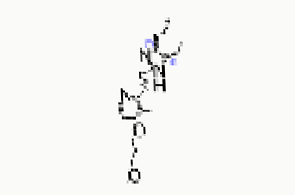 C=C/C=c1/nc(SCc2nccc(OCCCOC)c2C)[nH]/c1=C/C